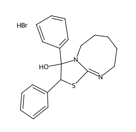 Br.OC1(c2ccccc2)C(c2ccccc2)SC2=NCCCCCN21